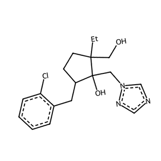 CCC1(CO)CCC(Cc2ccccc2Cl)C1(O)Cn1cncn1